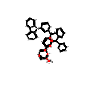 Cc1cccc(-c2ccc3c(c2)C2(c4ccccc4)c4ccccc4C3(c3cccc(-n4c5ccccc5c5ccccc54)c3)c3ccc(-c4cccc(C)n4)cc32)n1